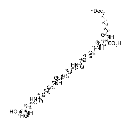 CCCCCCCCCCCCCCCCCC(=O)N[C@@H](CCC(=O)NCCOCCOCC(=O)NCCOCCOCC(=O)NCCOCCOCC(=O)NCCCCC(NO)C(=O)O)C(=O)O